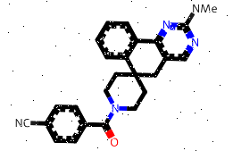 CNc1ncc2c(n1)-c1ccccc1C1(CCN(C(=O)c3ccc(C#N)cc3)CC1)C2